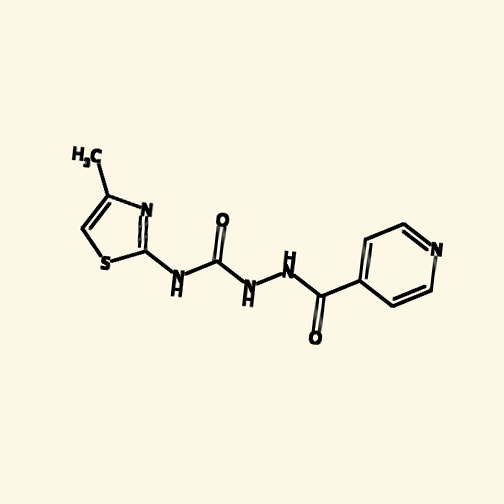 Cc1csc(NC(=O)NNC(=O)c2ccncc2)n1